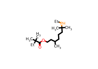 CCPC(C)(C)CCCC(C)CCOC(=O)C(C)(C)CC